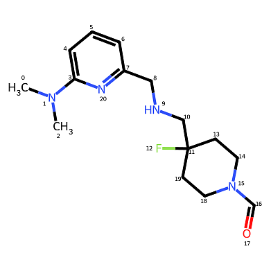 CN(C)c1cccc(CNCC2(F)CCN(C=O)CC2)n1